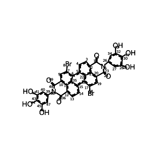 O=C1c2ccc3c4c(Br)cc5c6c(ccc(c7c(Br)cc(c2c37)C(=O)N1c1cc(O)c(O)c(O)c1)c64)C(=O)N(c1cc(O)c(O)c(O)c1)C5=O